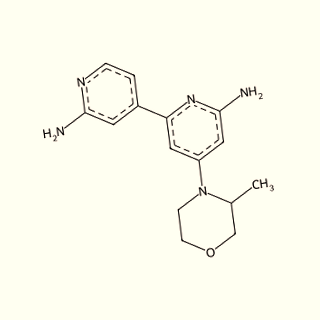 CC1COCCN1c1cc(N)nc(-c2ccnc(N)c2)c1